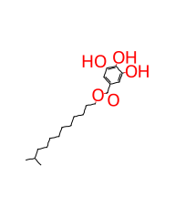 CC(C)CCCCCCCCCCOC(=O)c1cc(O)c(O)c(O)c1